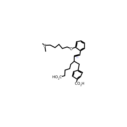 CN(C)CCCCCOc1ccccc1/C=C/C(CCCCC(=O)O)Cc1ccc(C(=O)O)cc1